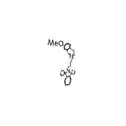 COc1ccc2c(c1)CN(CCCCN1C(=O)c3ccccc3C1=O)CC2